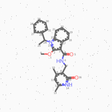 COc1c(C(=O)NCc2c(C)cc(C)[nH]c2=O)c2ccccc2n1C(C)c1ccccc1